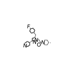 O=C(Cn1nc(-c2ccncc2)cc1Cc1ccc(F)cc1)N1CC[CH]CC1